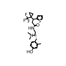 Cc1cc(O)ccc1C[C@@H](CNC(=O)CC(c1cccs1)C1(C(F)(F)F)CC1)N(C)C